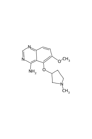 COc1ccc2ncnc(N)c2c1OC1CCN(C)C1